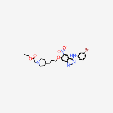 CCOC(=O)CN1CCC(CCCOc2cc3ncnc(Nc4cccc(Br)c4)c3cc2[N+](=O)[O-])CC1